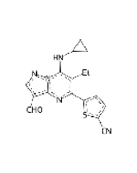 CCc1c(-c2ccc(C#N)s2)nc2c(C=O)cnn2c1NC1CC1